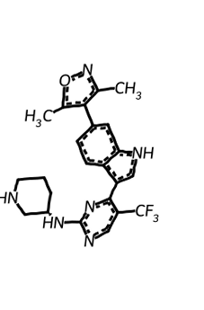 Cc1noc(C)c1-c1ccc2c(-c3nc(N[C@H]4CCCNC4)ncc3C(F)(F)F)c[nH]c2c1